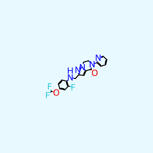 O=C1c2cc(CNc3ccc(OC(F)F)cc3F)nn2CCN1c1ccccn1